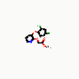 COC(=O)COc1ncccc1Oc1ccc(F)cc1Cl